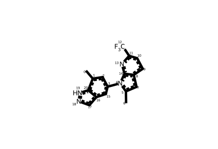 Cc1cc(-n2c(C)cc3ccc(C(F)(F)F)nc32)cc2cn[nH]c12